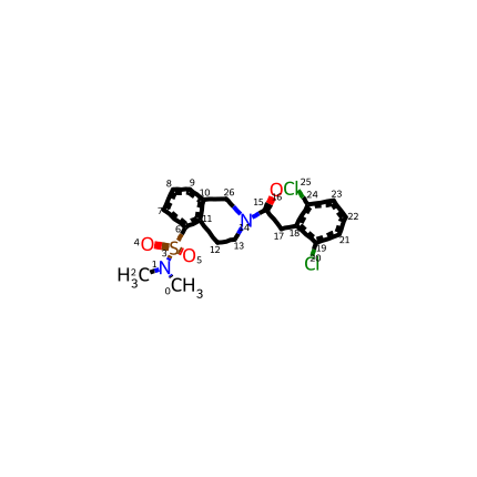 CN(C)S(=O)(=O)c1cccc2c1CCN(C(=O)Cc1c(Cl)cccc1Cl)C2